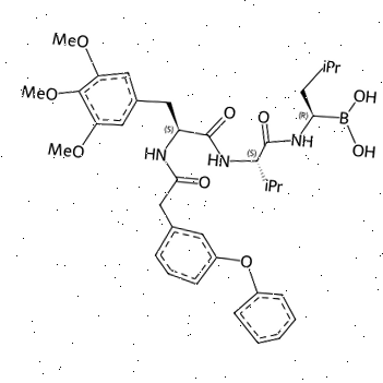 COc1cc(C[C@H](NC(=O)Cc2cccc(Oc3ccccc3)c2)C(=O)N[C@H](C(=O)N[C@@H](CC(C)C)B(O)O)C(C)C)cc(OC)c1OC